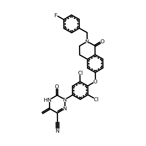 C=C1NC(=O)N(c2cc(Cl)c(Oc3ccc4c(c3)CCN(Cc3ccc(F)cc3)C4=O)c(Cl)c2)N=C1C#N